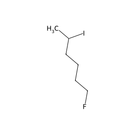 CC(I)CCCCF